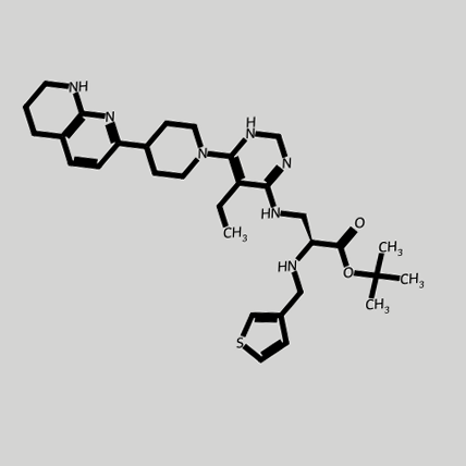 CCC1=C(N2CCC(c3ccc4c(n3)NCCC4)CC2)NCN=C1NC[C@H](NCc1ccsc1)C(=O)OC(C)(C)C